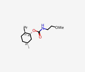 COCCNC(=O)O[C@@H]1C[C@H](C)CC[C@H]1C(C)C